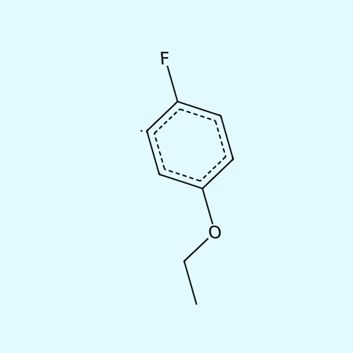 CCOc1c[c]c(F)cc1